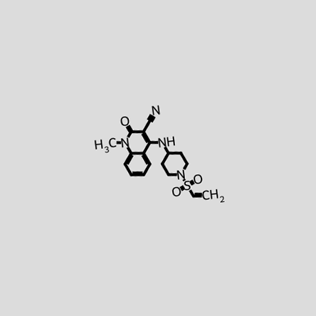 C=CS(=O)(=O)N1CCC(Nc2c(C#N)c(=O)n(C)c3ccccc23)CC1